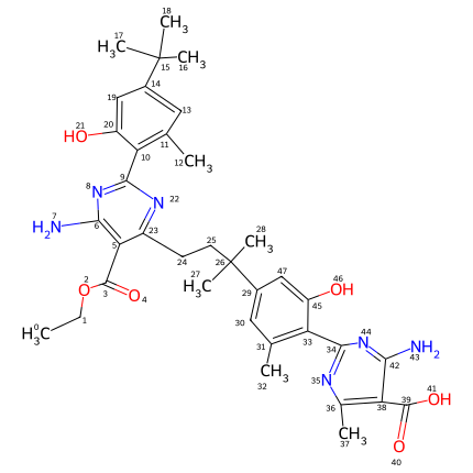 CCOC(=O)c1c(N)nc(-c2c(C)cc(C(C)(C)C)cc2O)nc1CCC(C)(C)c1cc(C)c(-c2nc(C)c(C(=O)O)c(N)n2)c(O)c1